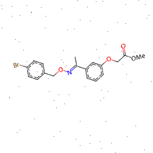 COC(=O)COc1cccc(C(C)=NOCc2ccc(Br)cc2)c1